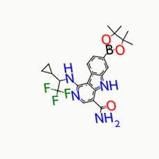 CC1(C)OB(c2ccc3c(c2)[nH]c2c(C(N)=O)cnc(NC(C4CC4)C(F)(F)F)c23)OC1(C)C